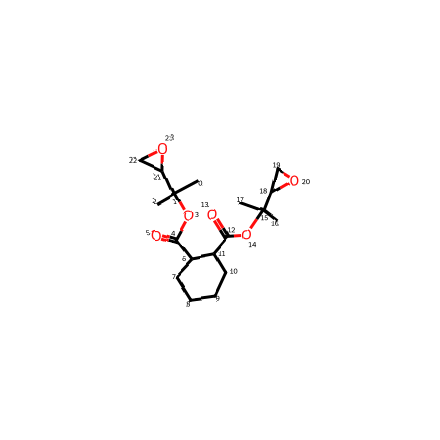 CC(C)(OC(=O)C1CCCCC1C(=O)OC(C)(C)C1CO1)C1CO1